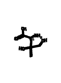 CC(O)(CO)[C@H](N)C(=O)O